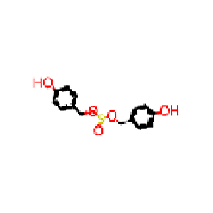 O=S(OCc1ccc(O)cc1)OCc1ccc(O)cc1